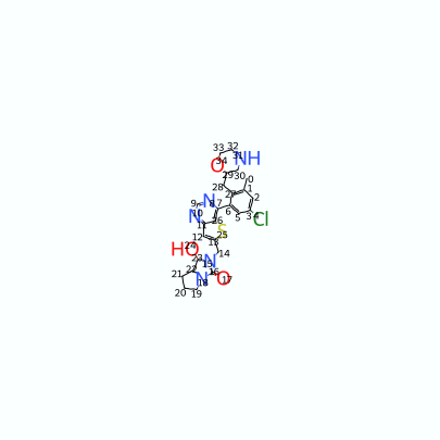 Cc1cc(Cl)cc(-c2ncnc3cc(CN4C(=O)N5CCCC5C4O)sc23)c1CC1CNCCO1